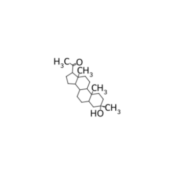 CC(=O)C1CCC2C3CCC4C[C@@](C)(O)CCC4(C)C3CCC12C